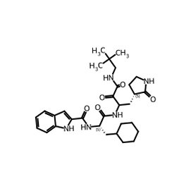 CC(C)(C)CNC(=O)C(=O)C(C[C@@H]1CCNC1=O)NC(=O)[C@H](CC1CCCCC1)NC(=O)c1cc2ccccc2[nH]1